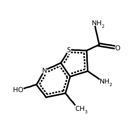 Cc1cc(O)nc2sc(C(N)=O)c(N)c12